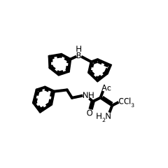 B(c1ccccc1)c1ccccc1.CC(=O)/C(C(=O)NCCc1ccccc1)=C(/N)C(Cl)(Cl)Cl